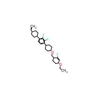 C=CC1CCC(c2ccc(C3CCC(OCC4CCC(OCC)C=C4F)CC3)c(F)c2F)CC1